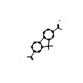 CCCCCCC(=O)c1ccc2c(c1)C(CC)(CC)c1cc(C(CC)=NO)ccc1-2